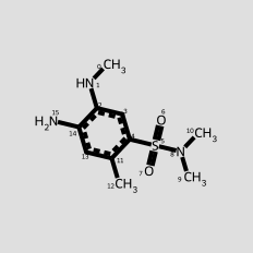 CNc1cc(S(=O)(=O)N(C)C)c(C)cc1N